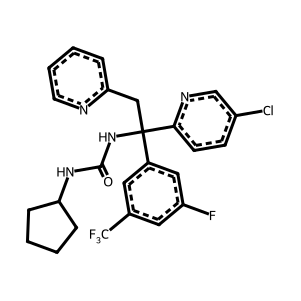 O=C(NC1CCCC1)NC(Cc1ccccn1)(c1cc(F)cc(C(F)(F)F)c1)c1ccc(Cl)cn1